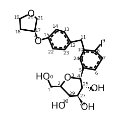 OC[C@H]1O[C@@H](c2ccc(I)c(Cc3ccc(O[C@H]4CCOC4)cc3)c2)[C@H](O)[C@@H](O)[C@@H]1O